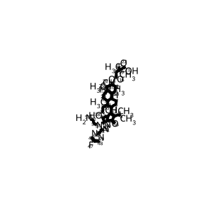 CC(C)C1=C2[C@H]3CC[C@@H]4[C@@]5(C)CC[C@H](OC(=O)CC(C)(C)C(=O)O)C(C)(C)[C@@H]5CC[C@@]4(C)[C@]3(C)CC[C@@]2([C@H](O)c2nnc(-c3ncc(F)cn3)n2CCN)CC1=O